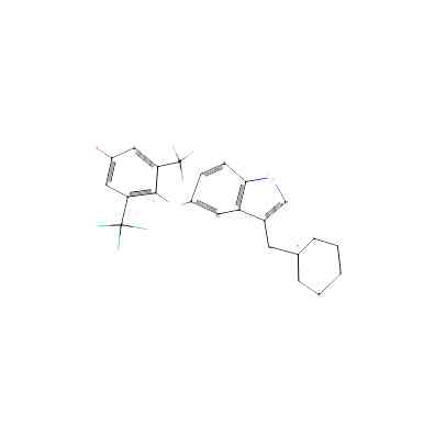 [O]c1cc(C(F)(F)F)c(Oc2ccc3[nH]cc(CC4CCCCC4)c3c2)c(C(F)(F)F)c1